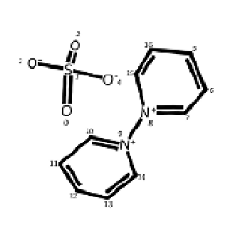 O=S(=O)([O-])[O-].c1cc[n+](-[n+]2ccccc2)cc1